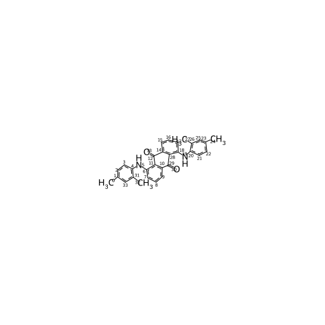 Cc1ccc(Nc2cccc3c2C(=O)c2cccc(Nc4ccc(C)cc4C)c2C3=O)c(C)c1